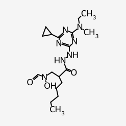 CCCCCC(CN(O)C=O)C(=O)NNc1nc(C2CC2)nc(N(C)CC)n1